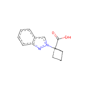 O=C(O)C1(n2cc3ccccc3n2)CCC1